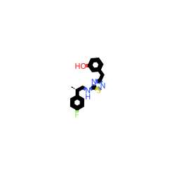 C[C@H](CNc1nc(Cc2cccc(O)c2)ns1)c1ccc(F)cc1